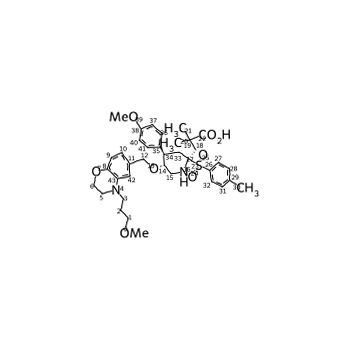 COCCCN1CCOc2ccc(CO[C@H]3CN[C@](CC(C)(C)C(=O)O)(S(=O)(=O)c4ccc(C)cc4)C[C@@H]3c3ccc(OC)cc3)cc21